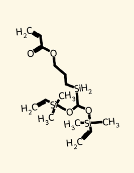 C=CC(=O)OCCC[SiH2]C(O[Si](C)(C)C=C)O[Si](C)(C)C=C